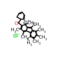 CC1=C2C(=C(C)c3c(C)c(C)c(C)c(C)c32)[C](C)([Zr+2])C(C(=O)C2C=CC=CC2)=C1C.[Cl-].[Cl-]